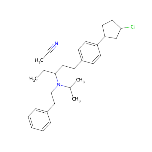 CC#N.CCC(CCc1ccc(C2CCC(Cl)C2)cc1)N(CCc1ccccc1)C(C)C